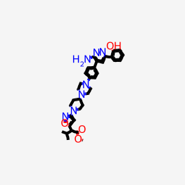 COC(=O)C(c1cc(N2CCC(N3CCN(c4ccc(-c5cc(-c6ccccc6O)nnc5N)cc4)CC3)CC2)no1)C(C)C